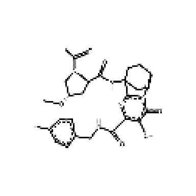 CO[C@H]1CC(C(=O)NC23CCC(CC2)Cn2c3nc(C(=O)NCc3ccc(F)cc3)c(O)c2=O)N(C(C)=O)C1